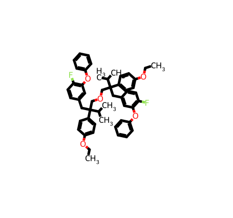 CCOc1ccc(C(COCC(Cc2ccc(F)c(Oc3ccccc3)c2)(c2ccc(OCC)cc2)C(C)C)(Cc2ccc(F)c(Oc3ccccc3)c2)C(C)C)cc1